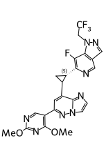 COc1ncc(-c2cc(C3C[C@@H]3c3ncc4cnn(CC(F)(F)F)c4c3F)c3nccn3n2)c(OC)n1